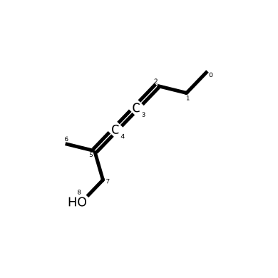 CCC=C=C=C(C)CO